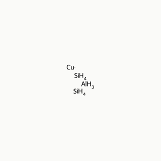 [AlH3].[Cu].[SiH4].[SiH4]